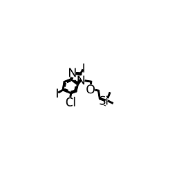 C[Si](C)(C)CCOCn1c(I)nc2cc(I)c(Cl)cc21